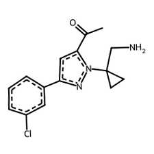 CC(=O)c1cc(-c2cccc(Cl)c2)nn1C1(CN)CC1